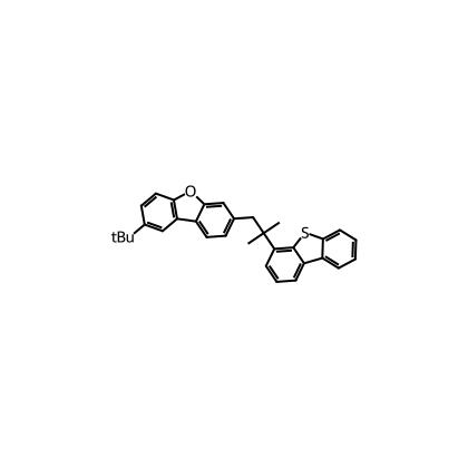 CC(C)(C)c1ccc2oc3cc(CC(C)(C)c4cccc5c4sc4ccccc45)ccc3c2c1